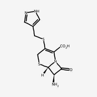 N[C@@H]1C(=O)N2C(C(=O)O)=C(SCc3cn[nH]c3)CS[C@@H]12